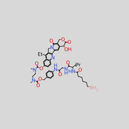 BCCCCCC(=O)NC(C(=O)NCC(=O)Nc1ccc(COC(=O)N(C)CCN(C)C(=O)Oc2ccc3nc4c(c(CC)c3c2)Cn2c-4cc3c(c2=O)COC(=O)C3O)cc1)C(C)C